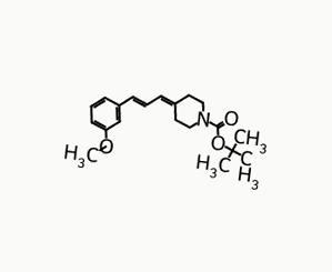 COc1cccc(C=CC=C2CCN(C(=O)OC(C)(C)C)CC2)c1